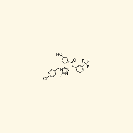 Cc1nnc(C2C[C@H](O)CN2C(=O)Cc2cccc(C(F)(F)F)c2)n1Cc1ccc(Cl)cc1